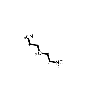 [C-]#[N+]CCOCCC#N